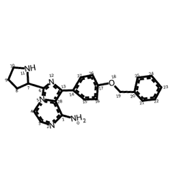 Nc1nccn2c(C3CCCN3)nc(-c3ccc(OCc4ccccc4)cc3)c12